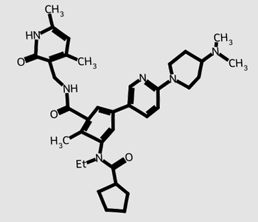 CCN(C(=O)C1CCCC1)c1cc(-c2ccc(N3CCC(N(C)C)CC3)nc2)cc(C(=O)NCc2c(C)cc(C)[nH]c2=O)c1C